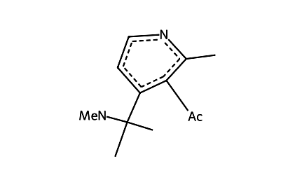 CNC(C)(C)c1ccnc(C)c1C(C)=O